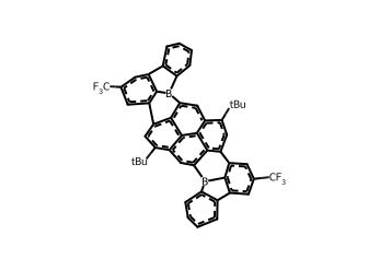 CC(C)(C)c1cc2c3c(cc4c(C(C)(C)C)cc5c6c(cc1c3c46)B1c3ccccc3-c3cc(C(F)(F)F)cc-5c31)B1c3ccccc3-c3cc(C(F)(F)F)cc-2c31